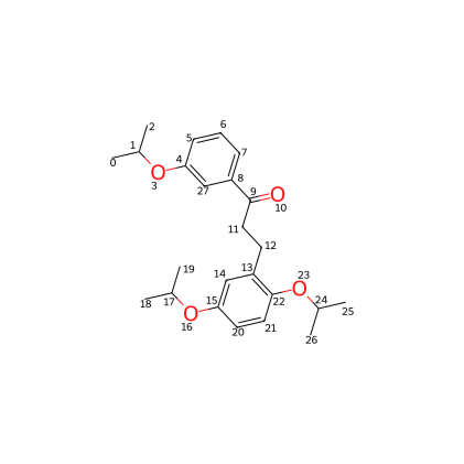 CC(C)Oc1cccc(C(=O)CCc2cc(OC(C)C)ccc2OC(C)C)c1